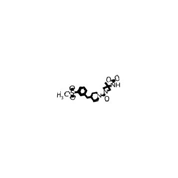 CS(=O)(=O)c1cccc(CC2CCN(C(=O)N3CC4(COC(=O)N4)C3)CC2)c1